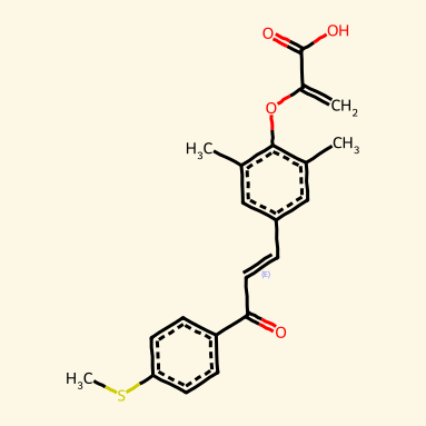 C=C(Oc1c(C)cc(/C=C/C(=O)c2ccc(SC)cc2)cc1C)C(=O)O